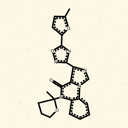 Cc1ccc(-c2nc(-c3ncn4c3c(=O)n(C3(C)CCCO3)c3ccccc34)no2)o1